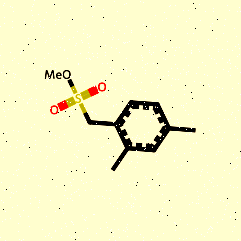 COS(=O)(=O)Cc1ccc(C)cc1C